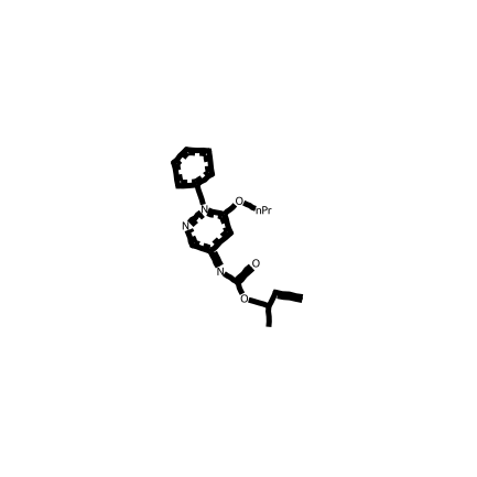 C=CC(C)OC(=O)/N=c1/cnn(-c2ccccc2)c(OCCC)c1